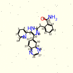 Cc1cccc(-c2[nH]c(Cc3ccccc3C(N)=O)nc2-c2ccc3nccnc3c2)n1